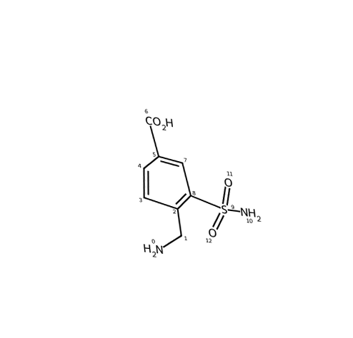 NCc1ccc(C(=O)O)cc1S(N)(=O)=O